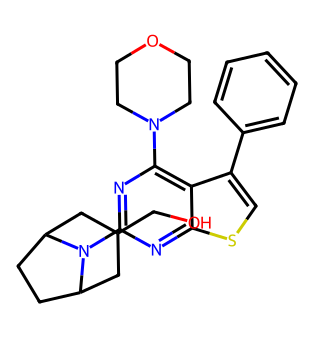 OCC1CC2CCC(C1)N2c1nc(N2CCOCC2)c2c(-c3ccccc3)csc2n1